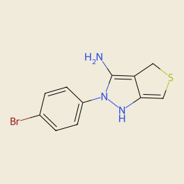 NC1=C2CSC=C2NN1c1ccc(Br)cc1